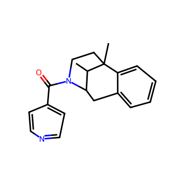 CC1C2Cc3ccccc3C1(C)CCN2C(=O)c1ccncc1